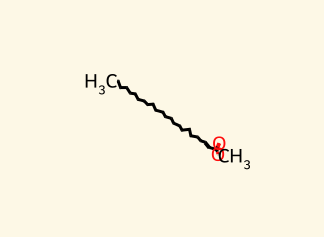 CCCCCCCCCCCCCCCCCCCCCC=CC(=O)OC